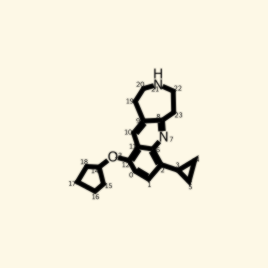 c1cc(C2CC2)c2nc3c(cc2c1OC1CCCC1)CCNCC3